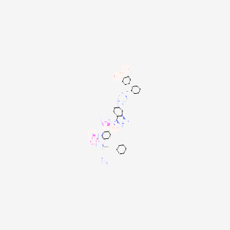 CN(C)CC[C@H](CSc1ccccc1)Nc1ccc(S(=O)(=O)Nc2ncnc3cc(N4CCN(Cc5ccccc5-c5ccc(S(C)(=O)=O)cc5)CC4)ccc23)cc1[N+](=O)[O-]